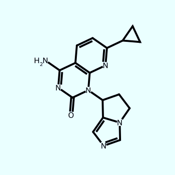 Nc1nc(=O)n(C2CCn3cncc32)c2nc(C3CC3)ccc12